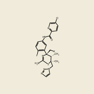 C[C@@H]1[C@@](C)(Cn2ccnn2)SC(N)=N[C@]1(CF)c1cc(NC(=O)c2ccc(Cl)cn2)ccc1F